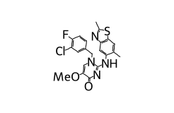 COc1cn(Cc2ccc(F)c(Cl)c2)c(Nc2cc3nc(C)sc3cc2C)nc1=O